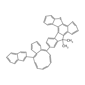 CC1(C)c2cc(-c3ccccccc(-c4ccc5ccccc5c4)c4ccccc34)ccc2-c2c1c1ccccc1c1sc3ccccc3c21